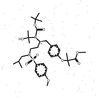 COC(=O)C(C)(C)Oc1ccc(C[C@@H](CCN(CC(C)C)S(=O)(=O)c2ccc(OC)cc2)N(C(=O)OC(C)(C)C)C(C)(C)O)cc1